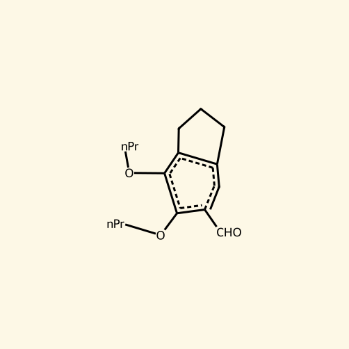 CCCOc1c(C=O)cc2c(c1OCCC)CCC2